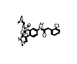 CN(C)C=NS(=O)(=O)c1cc(NC(=O)Cc2ccccc2Cl)ccc1-c1cn(C)nc1C(F)(F)F